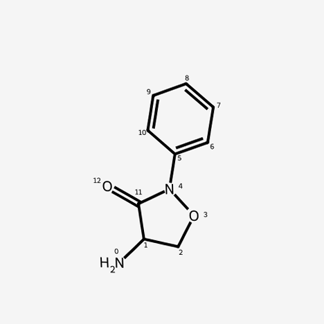 NC1CON(c2ccccc2)C1=O